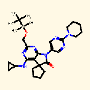 CC(C)(C)[Si](C)(C)OCc1nc(NC2CC2)c2c(n1)N(c1cnc(N3CCCCC3)nc1)C(=O)C21CCCC1